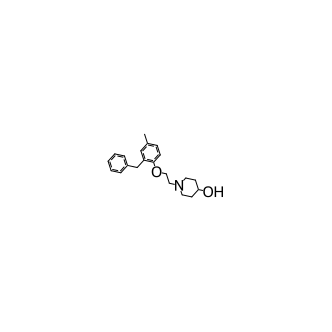 Cc1ccc(OCCN2CCC(O)CC2)c(Cc2ccccc2)c1